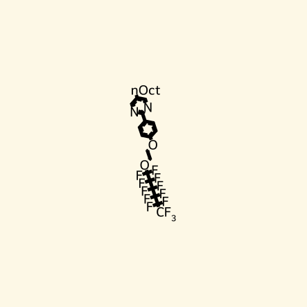 CCCCCCCCc1cnc(-c2ccc(OCCOC(F)(F)C(F)(F)C(F)(F)C(F)(F)C(F)(F)C(F)(F)F)cc2)nc1